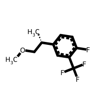 COC[C@H](C)c1ccc(F)c(C(F)(F)F)c1